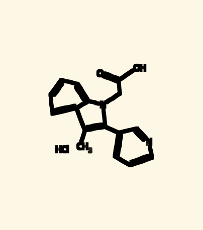 Cc1c(-c2cccnc2)n(CC(=O)O)c2ccccc12.Cl